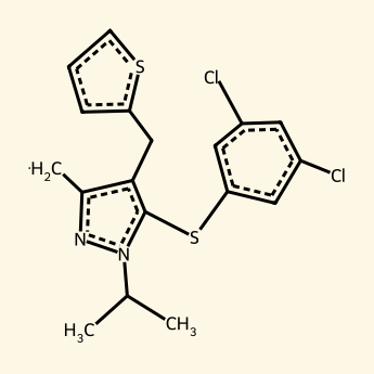 [CH2]c1nn(C(C)C)c(Sc2cc(Cl)cc(Cl)c2)c1Cc1cccs1